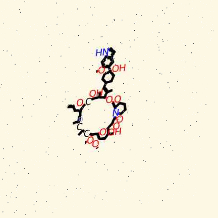 C=CCC1/C=C(\C)CC(C)CC(OC)C2OC(O)(C(=O)C(=O)N3CCCCC3C(=O)OC(C(C)=CC3CCC(O)(c4ccc5[nH]ccc5c4)C(OC)C3)C(C)C(O)CC1=O)C(C)CC2OC